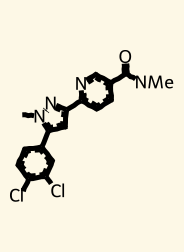 CNC(=O)c1ccc(-c2cc(-c3ccc(Cl)c(Cl)c3)n(C)n2)nc1